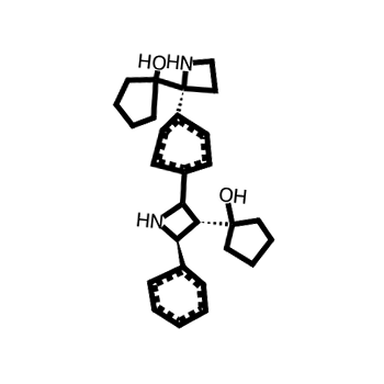 OC1([C@H]2C(c3ccc([C@@]4(C5(O)CCCC5)CCN4)cc3)N[C@@H]2c2ccccc2)CCCC1